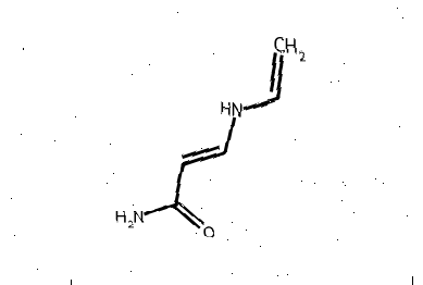 C=CNC=CC(N)=O